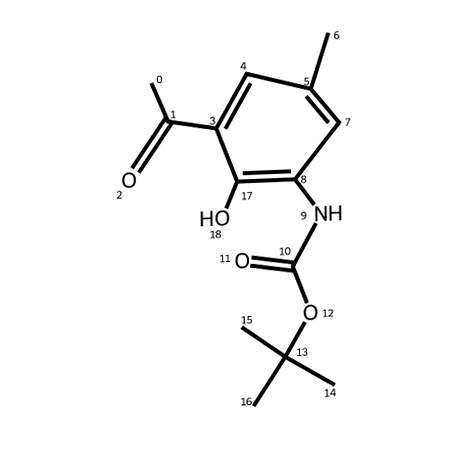 CC(=O)c1cc(C)cc(NC(=O)OC(C)(C)C)c1O